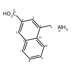 Cc1cc(C(=O)O)cc2ccccc12.[AlH3]